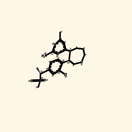 Cc1cc(N2CCCOC[C@H]2c2ccc([C@@H](C)S(C)(=O)=O)cc2Cl)nc(N)n1